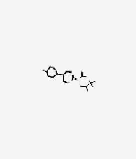 CC1CN(c2ncc(-c3ccc(F)cc3)cn2)C(=O)OC1(C)C